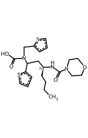 CCCC[C@@H](CC(c1cccs1)N(Cc1cccs1)C(=O)O)NC(=O)N1CCOCC1